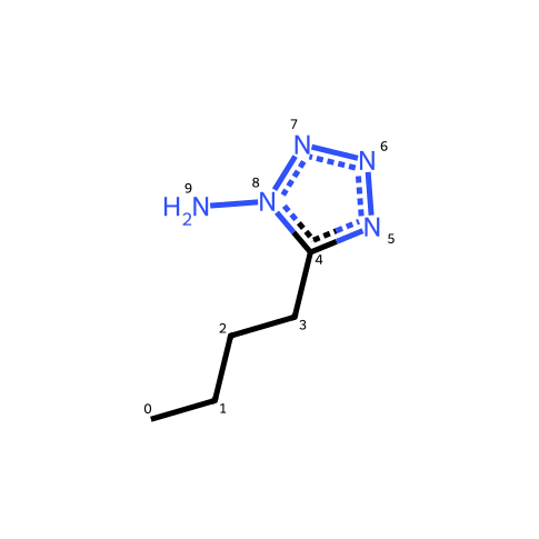 CCCCc1nnnn1N